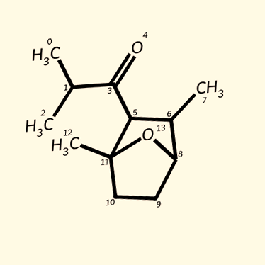 CC(C)C(=O)C1C(C)C2CCC1(C)O2